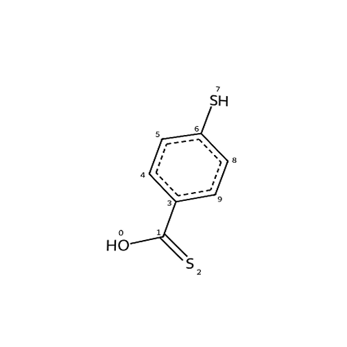 OC(=S)c1ccc(S)cc1